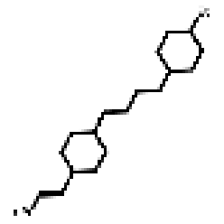 CCCC=CC1CCC(CCCCC2CCC(CC)CC2)CC1